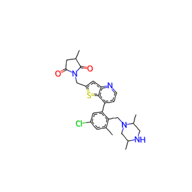 Cc1cc(Cl)cc(-c2ccnc3cc(CN4C(=O)CC(C)C4=O)sc23)c1CN1CC(C)NCC1C